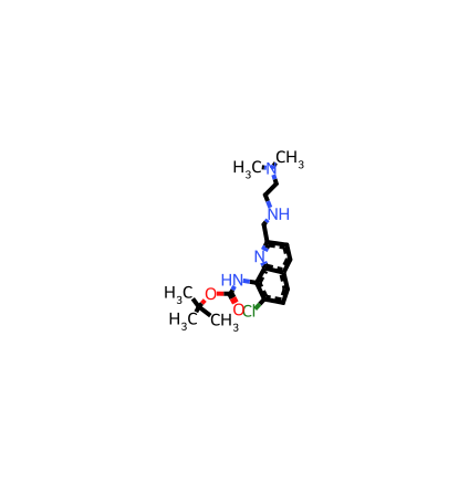 CN(C)CCNCc1ccc2ccc(Cl)c(NC(=O)OC(C)(C)C)c2n1